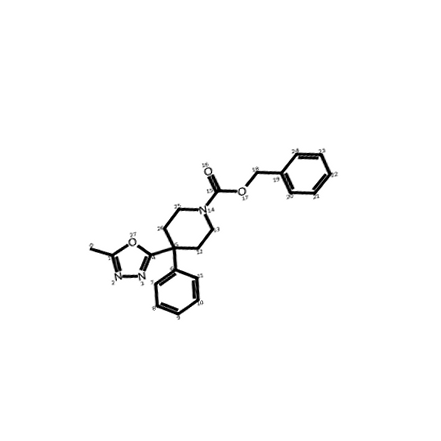 Cc1nnc(C2(c3ccccc3)CCN(C(=O)OCc3ccccc3)CC2)o1